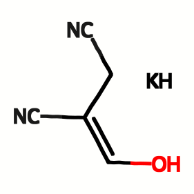 N#CC/C(C#N)=C\O.[KH]